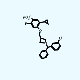 O=C(O)c1cc(C2CC2)c(OCC2CN(C(c3ccccc3)c3cccc(Cl)c3)C2)cc1F